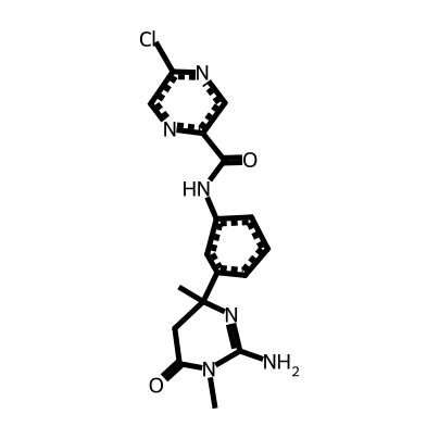 CN1C(=O)CC(C)(c2cccc(NC(=O)c3cnc(Cl)cn3)c2)N=C1N